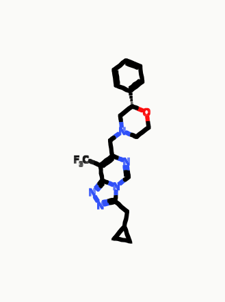 FC(F)(F)c1c(CN2CCO[C@@H](c3ccccc3)C2)ncn2c(CC3CC3)nnc12